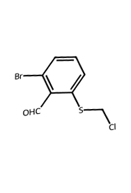 O=Cc1c(Br)cccc1SCCl